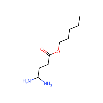 CCCCCOC(=O)CCC(N)N